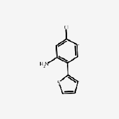 Nc1cc(Cl)[c]cc1-c1cccs1